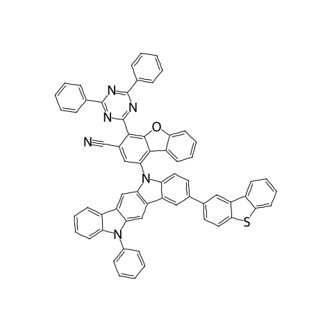 N#Cc1cc(-n2c3ccc(-c4ccc5sc6ccccc6c5c4)cc3c3cc4c(cc32)c2ccccc2n4-c2ccccc2)c2c(oc3ccccc32)c1-c1nc(-c2ccccc2)nc(-c2ccccc2)n1